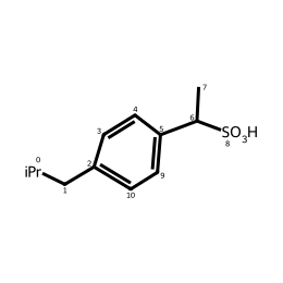 CC(C)Cc1ccc(C(C)S(=O)(=O)O)cc1